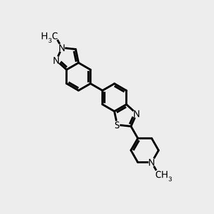 CN1CC=C(c2nc3ccc(-c4ccc5nn(C)cc5c4)cc3s2)CC1